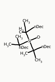 CCCCCCCCCCC(C)(C)[Si]([O])(C(C)(C)CCCCCCCCCC)C(C)(C)CCCCCCCCCC